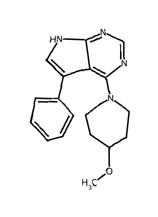 COC1CCN(c2ncnc3[nH]cc(-c4ccccc4)c23)CC1